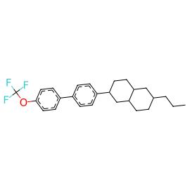 CCCC1CCC2CC(c3ccc(-c4ccc(OC(F)(F)F)cc4)cc3)CCC2C1